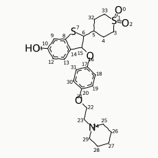 O=S1(=O)CCC(C2Sc3cc(O)ccc3C2Oc2ccc(OCCN3CCCCC3)cc2)CC1